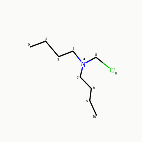 CCCCN(CCl)CCCC